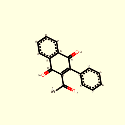 CC(C)C(=O)C1=C(c2ccccc2)C(=O)c2ccccc2C1=O